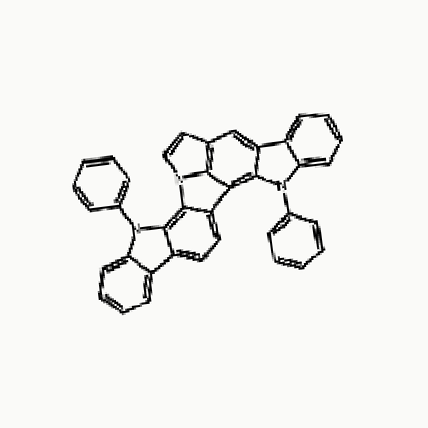 c1ccc(-n2c3ccccc3c3cc4ccn5c4c(c4ccc6c7ccccc7n(-c7ccccc7)c6c45)c32)cc1